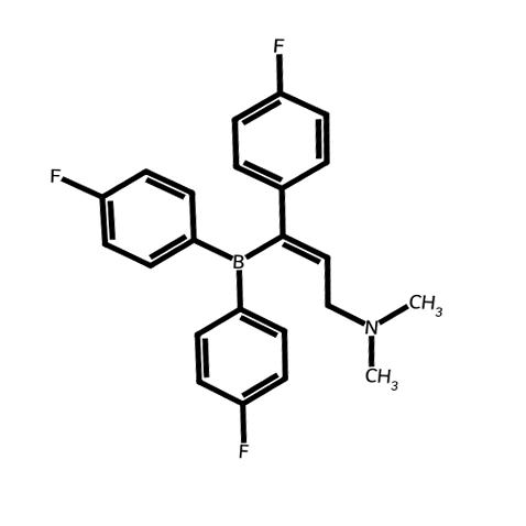 CN(C)C/C=C(\B(c1ccc(F)cc1)c1ccc(F)cc1)c1ccc(F)cc1